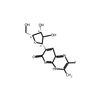 Cc1[nH]c2nc(=O)c([C@@H]3O[C@H](CO)[C@H](O)C3O)cc-2nc1F